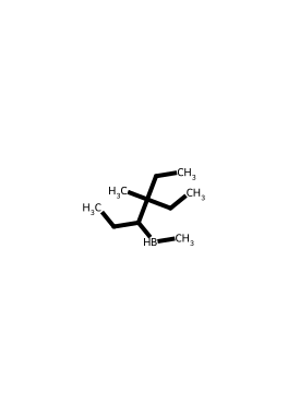 CBC(CC)C(C)(CC)CC